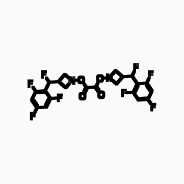 O=C(ON1CC(C(F)c2c(F)cc(F)cc2F)C1)C(=O)ON1CC(C(F)c2c(F)cc(F)cc2F)C1